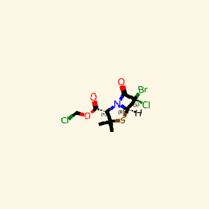 CC1(C)S[C@H]2N(C(=O)[C@]2(Cl)Br)[C@H]1C(=O)OCCl